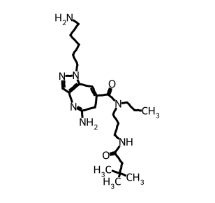 CCCN(CCCNC(=O)CC(C)(C)C)C(=O)C1=Cc2c(cnn2CCCCCN)N=C(N)C1